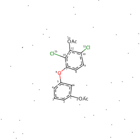 CC(=O)Oc1cccc(Oc2ccc(Cl)c(OC(C)=O)c2Cl)c1